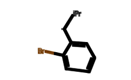 CC(C)[CH]c1ccccc1Br